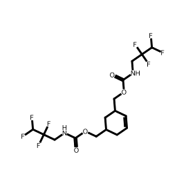 O=C(NCC(F)(F)C(F)F)OCC1C=CCC(COC(=O)NCC(F)(F)C(F)F)C1